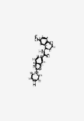 COc1ccc2c(c1)C(NC(=O)c1ccc3nc(N4CCNCC4)sc3c1)CCO2